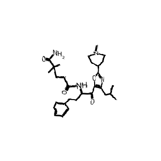 CC(C)Cc1nc(C2CCN(C)CC2)oc1C(=O)C(CCc1ccccc1)NC(=O)[CH]CC(C)(C)C(N)=O